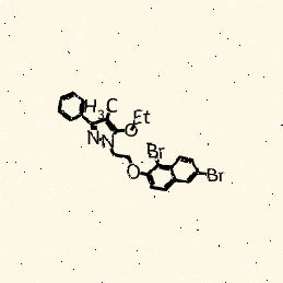 CCOc1c(C)c(-c2ccccc2)nn1CCOc1ccc2cc(Br)ccc2c1Br